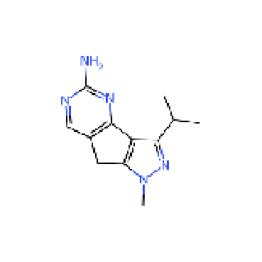 CC(C)c1nn(C)c2c1-c1nc(N)ncc1C2